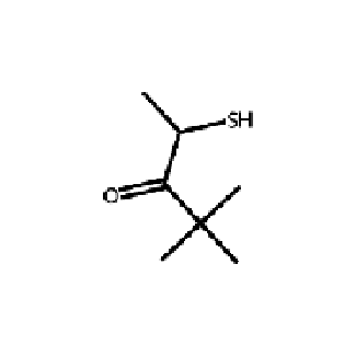 CC(S)C(=O)C(C)(C)C